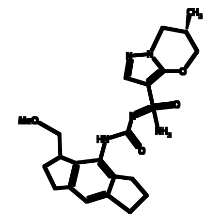 COCC1CCc2cc3c(c(NC(=O)N=S(N)(=O)c4cnn5c4OC[C@@H](C)C5)c21)CCC3